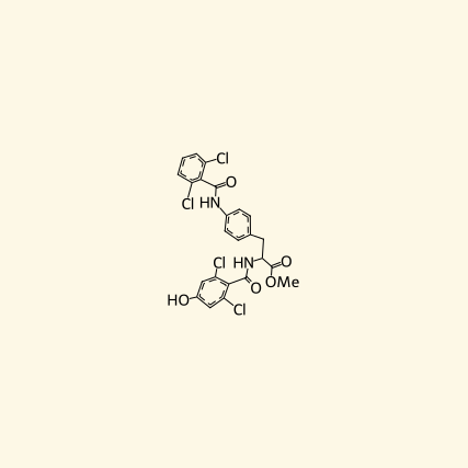 COC(=O)C(Cc1ccc(NC(=O)c2c(Cl)cccc2Cl)cc1)NC(=O)c1c(Cl)cc(O)cc1Cl